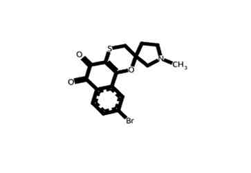 CN1CCC2(CSC3=C(O2)c2cc(Br)ccc2C(=O)C3=O)C1